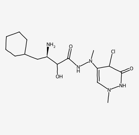 CN1C=C(N(C)NC(=O)C(O)[C@H](N)CC2CCCCC2)C(Cl)C(=O)N1